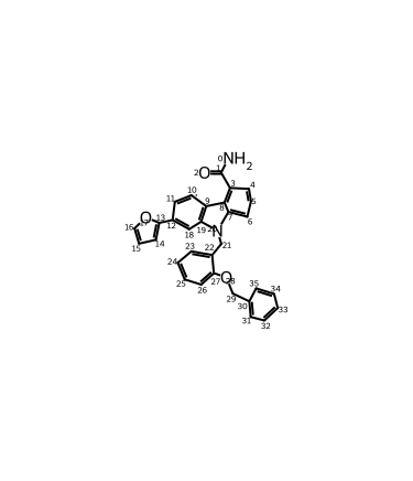 NC(=O)c1cccc2c1c1[c]cc(-c3ccco3)cc1n2Cc1ccccc1OCc1ccccc1